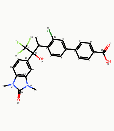 CC(c1ccc(-c2ccc(C(=O)O)cc2)cc1Cl)C(O)(c1ccc2c(c1)n(C)c(=O)n2C)C(F)(F)F